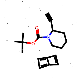 C#CC1CCCCN1C(=O)OC(C)(C)C.c1cc2ccc1-2